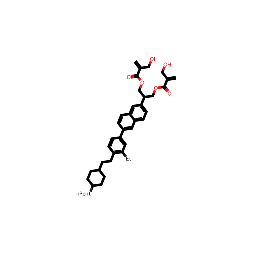 C=C(CO)C(=O)OCC(COC(=O)C(=C)CO)c1ccc2cc(-c3ccc(CCC4CCC(CCCCC)CC4)c(CC)c3)ccc2c1